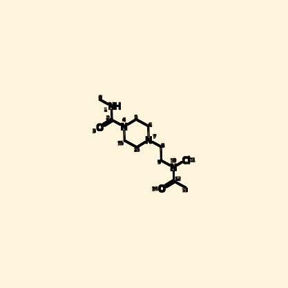 CNC(=O)N1CCN(CCN(Cl)C(C)=O)CC1